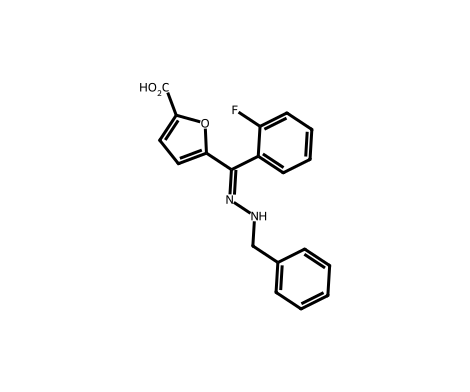 O=C(O)c1ccc(C(=NNCc2ccccc2)c2ccccc2F)o1